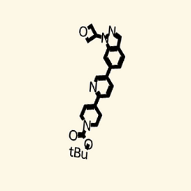 CC(C)(C)OC(=O)N1CC=C(c2ccc(-c3ccc4cnn(C5COC5)c4c3)cn2)CC1